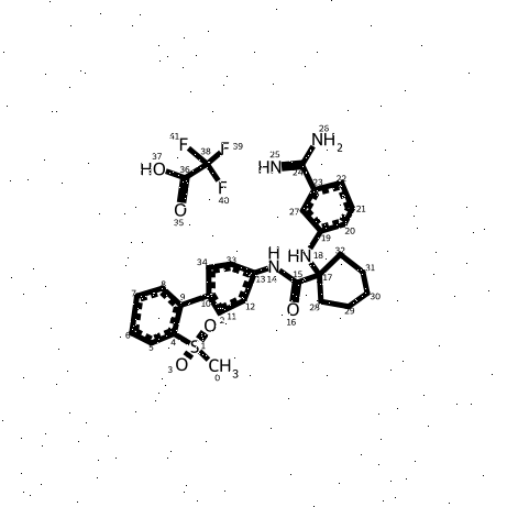 CS(=O)(=O)c1ccccc1-c1ccc(NC(=O)C2(Nc3cccc(C(=N)N)c3)CCCCC2)cc1.O=C(O)C(F)(F)F